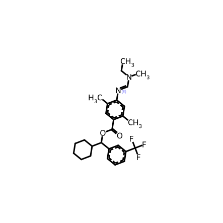 CCN(C)/C=N/c1cc(C)c(C(=O)OC(c2cccc(C(F)(F)F)c2)C2CCCCC2)cc1C